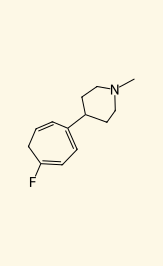 CN1CCC(C2=CC=C(F)CC=C2)CC1